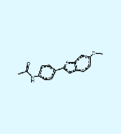 COc1ccc2cc(-c3ccc(NC(C)=O)cc3)sc2c1